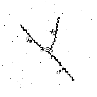 CCCCCCCCCC(CCCCCCCC(=O)OCC(COC(=O)CCCCCCCC(CCCCCCCCC)OC(C)=O)OC(=O)CCCCCCCC(CCCCCCCCC)OC(C)=O)OC=O